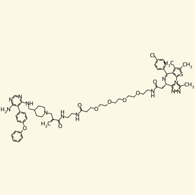 C=C(CN1CCC(CNc2ncnc(N)c2-c2ccc(Oc3ccccc3)cc2)CC1)C(=O)NCCNC(=O)CCOCCOCCOCCOCCNC(=O)C[C@H]1N=C(c2ccc(Cl)cc2)c2c(sc(C)c2C)-n2c(C)nnc21